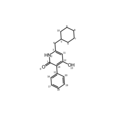 O=c1[nH]c(CC2CCCCC2)cc(O)c1-c1ccccc1